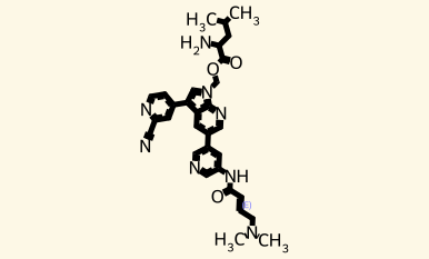 CC(C)CC(N)C(=O)OCn1cc(-c2ccnc(C#N)c2)c2cc(-c3cncc(NC(=O)/C=C/CN(C)C)c3)cnc21